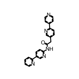 O=C(Cc1ccc(-c2ccncc2)nc1)Nc1ccc(-c2ccccn2)cn1